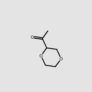 CC(=O)C1COCCO1